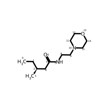 CC[C@H](C)CC(=O)NCCN1CCOCC1